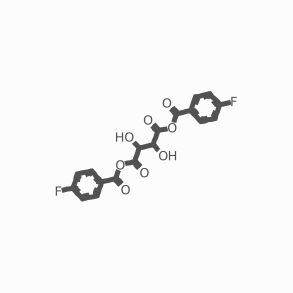 O=C(OC(=O)C(O)C(O)C(=O)OC(=O)c1ccc(F)cc1)c1ccc(F)cc1